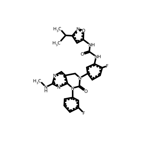 CNc1ncc2c(n1)N(c1cccc(F)c1)C(=O)N(c1ccc(F)c(NC(=O)Nc3cc(C(C)C)no3)c1)C2